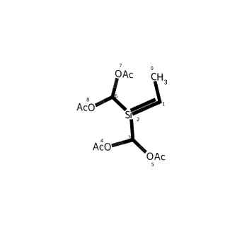 CC=[Si](C(OC(C)=O)OC(C)=O)C(OC(C)=O)OC(C)=O